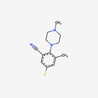 Cc1cc(F)cc(C#N)c1N1CCN(C)CC1